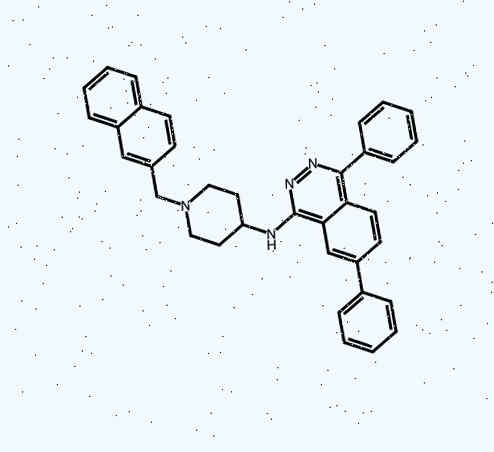 c1ccc(-c2ccc3c(-c4ccccc4)nnc(NC4CCN(Cc5ccc6ccccc6c5)CC4)c3c2)cc1